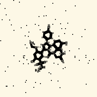 CCOc1cc(Cl)c(S(=O)(=O)NC)cc1C1=N[C@@H](c2ccc(Cl)cc2)[C@@H](c2ccc(Cl)cc2)N1C(=O)N1CCNC(=O)C1